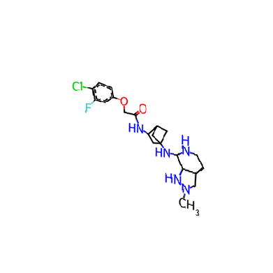 CN1CC2CCNC(NC34CC(C3)C(NC(=O)COc3ccc(Cl)c(F)c3)C4)C2N1